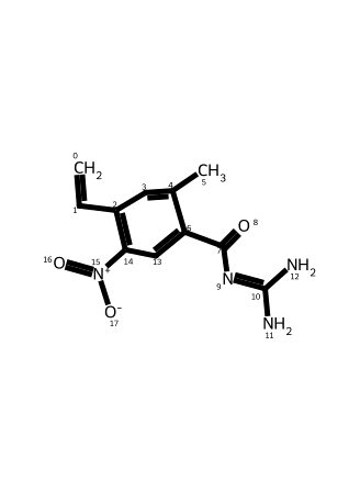 C=Cc1cc(C)c(C(=O)N=C(N)N)cc1[N+](=O)[O-]